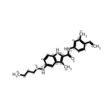 C=Cc1ccc(NC(=O)c2[nH]c3ccc(NSCCCC)cc3c2C)cc1C